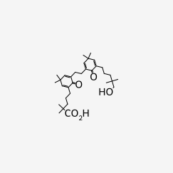 CC1(C)C=C(CCCC(C)(C)CO)C(=O)C(CCC2=CC(C)(C)C=C(CCCC(C)(C)C(=O)O)C2=O)=C1